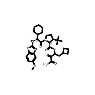 COc1ccc2oc(N[C@H](C(=O)N3CCC(C(C)(C)C)[C@H]3C(=O)NC(CC3CCC3)C(=O)C(N)=O)C3CCCCC3)nc2c1